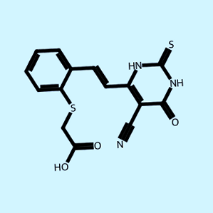 N#Cc1c(C=Cc2ccccc2SCC(=O)O)[nH]c(=S)[nH]c1=O